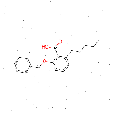 CCCCCc1cccc(OCc2ccccc2)c1C(=O)O